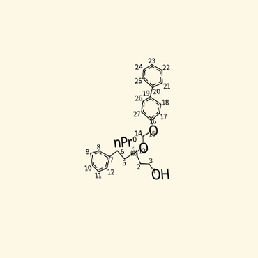 CCC[C@](CCO)(CCc1ccccc1)OCOc1ccc(-c2ccccc2)cc1